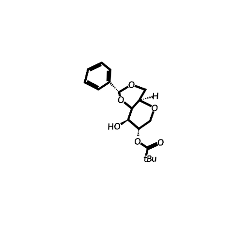 CC(C)(C)C(=O)O[C@H]1CO[C@@H]2CO[C@@H](c3ccccc3)OC2[C@@H]1O